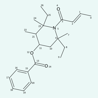 CC=CC(=O)N1C(C)(CC)CC(OC(=O)c2ccccc2)C(C)C1(C)CC